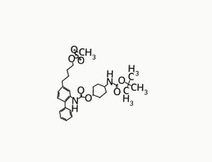 CC(C)(C)OC(=O)N[C@H]1CC[C@H](OC(=O)Nc2cc(CCCCOS(C)(=O)=O)ccc2-c2ccccc2)CC1